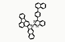 c1ccc2c(c1)-c1cccc3c1c-2cc1c3c2cc3ccccc3cc2n1-c1nc(-c2ccc(-c3cccc4ccccc34)cc2)c2ccccc2n1